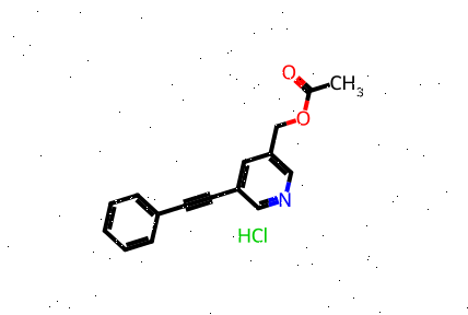 CC(=O)OCc1cncc(C#Cc2ccccc2)c1.Cl